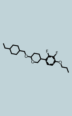 CCCOc1ccc(C2CCC(OCC3CCC(CC)CC3)OC2)c(F)c1F